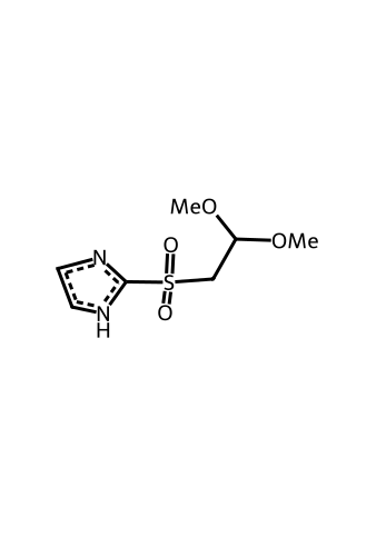 COC(CS(=O)(=O)c1ncc[nH]1)OC